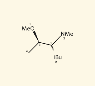 CC[C@@H](C)C(NC)[C@@H](C)OC